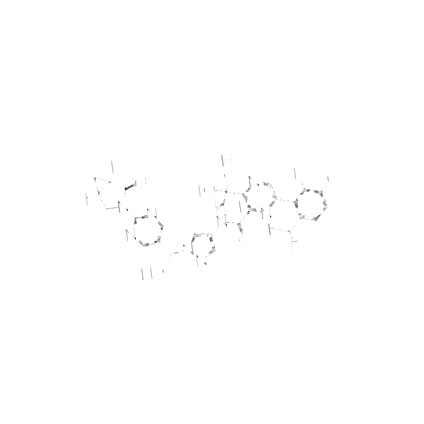 CC(c1cnc(N2C[C@H]3C[C@H]3C2=O)nc1)n1cc(NC(=O)c2nc(-c3c(C(F)F)ccc(Cl)c3F)cnc2C(C)(C)O)cn1